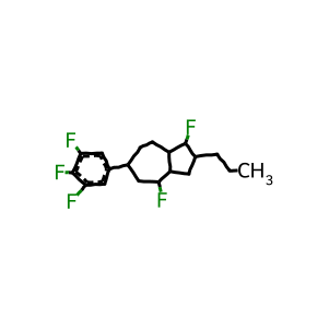 CCCC1CC2C(F)CC(c3cc(F)c(F)c(F)c3)CCC2C1F